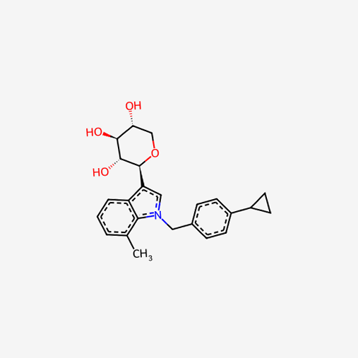 Cc1cccc2c([C@@H]3OC[C@@H](O)[C@H](O)[C@H]3O)cn(Cc3ccc(C4CC4)cc3)c12